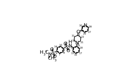 CN(C)S(=O)(=O)c1ccc(S(=O)(=O)Nc2ccccc2N2CCC(Oc3cccnc3)CC2)cc1